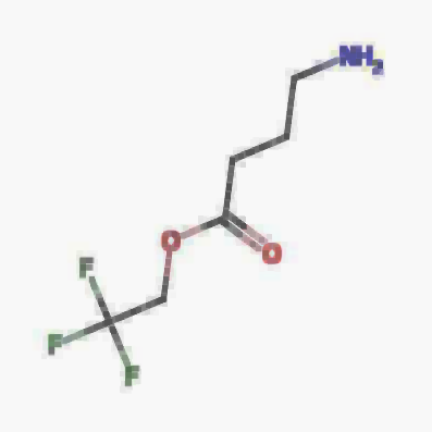 NCCCC(=O)OCC(F)(F)F